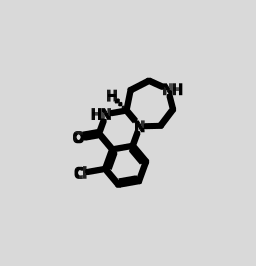 O=C1N[C@H]2CCNCCN2c2cccc(Cl)c21